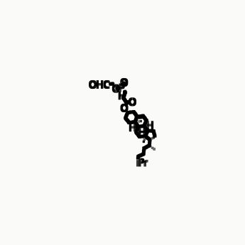 CC(C)CCC[C@@H](C)[C@H]1CC[C@H]2[C@@H]3CC=C4C[C@@H](OC(=O)CC[PH](=O)OCC=O)CC[C@]4(C)[C@H]3CC[C@]12C